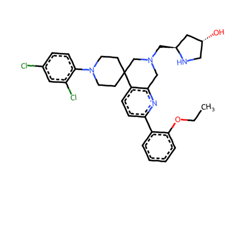 CCOc1ccccc1-c1ccc2c(n1)CN(C[C@H]1C[C@H](O)CN1)CC21CCN(c2ccc(Cl)cc2Cl)CC1